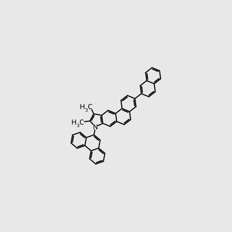 Cc1c(C)n(-c2cc3ccccc3c3ccccc23)c2cc3ccc4cc(-c5ccc6ccccc6c5)ccc4c3cc12